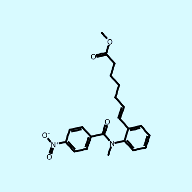 COC(=O)CCCCC=Cc1ccccc1N(C)C(=O)c1ccc([N+](=O)[O-])cc1